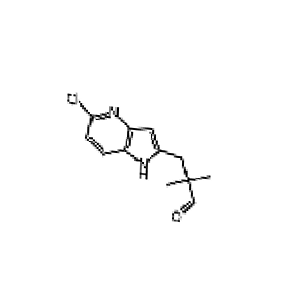 CC(C)(C=O)Cc1cc2nc(Cl)ccc2[nH]1